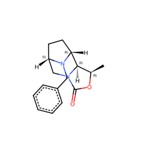 C[C@H]1OC(=O)N2C[C@@H]3CC[C@H]([C@@H]12)N3Cc1ccccc1